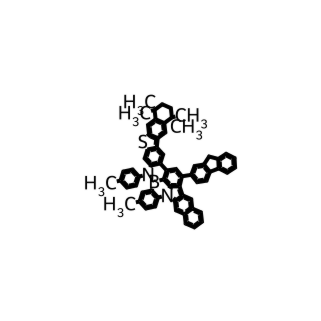 Cc1ccc(N2B3c4cc(C)ccc4-n4c5cc6ccccc6cc5c5c(-c6ccc7c(c6)Cc6ccccc6-7)cc(c3c54)-c3cc4c(cc32)sc2cc3c(cc24)C(C)(C)CCC3(C)C)cc1